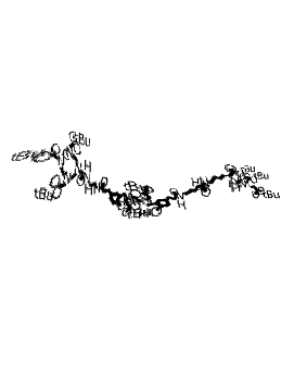 CC(C)(C)OC(=O)CC[C@H](NC(=O)N[C@@H](CCCCNC(=O)CCCCCNC(=O)CCc1ccc(O)c(CN(CCN(CC(=O)OC(C)(C)C)Cc2cc(CCC(=O)NCCNC(=O)CN3CCN(CC(=O)OC(C)(C)C)CCN(CC(=O)OC(C)(C)C)CCN(CC(=O)OC(C)(C)C)CC3)ccc2O)CC(=O)OC(C)(C)C)c1)C(=O)OC(C)(C)C)C(=O)OC(C)(C)C